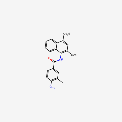 CC(=O)Oc1cc(S(=O)(=O)O)c2ccccc2c1NC(=O)c1ccc(N)c(C)c1